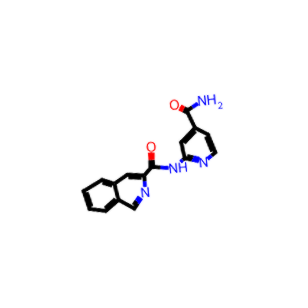 NC(=O)c1ccnc(NC(=O)c2cc3ccccc3cn2)c1